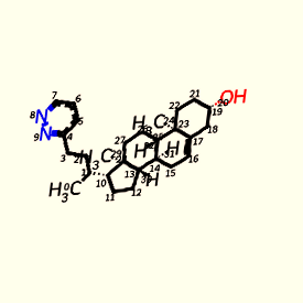 CC(CCc1cccnn1)[C@H]1CC[C@H]2[C@@H]3CC=C4C[C@@H](O)CC[C@]4(C)[C@H]3CC[C@]12C